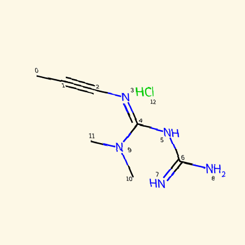 CC#CN=C(NC(=N)N)N(C)C.Cl